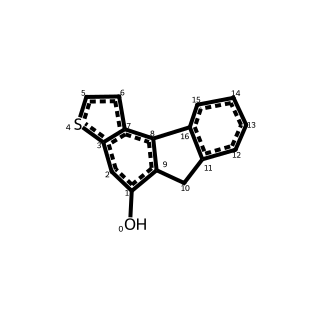 Oc1cc2sccc2c2c1Cc1ccccc1-2